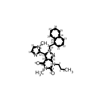 CCCn1c(=O)n(C)c(=O)c2c(-c3nccn3C)n(Cc3cccc4ccccc34)nc21